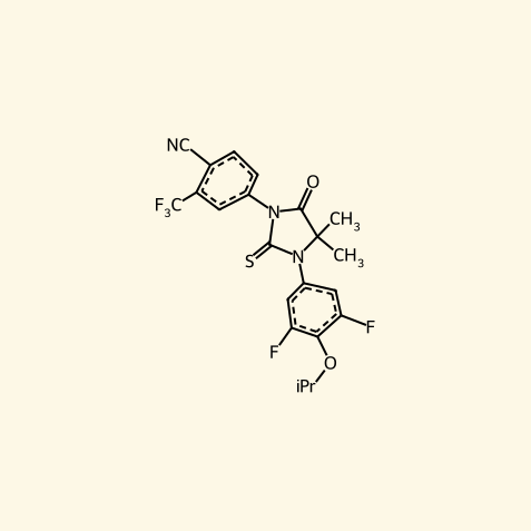 CC(C)Oc1c(F)cc(N2C(=S)N(c3ccc(C#N)c(C(F)(F)F)c3)C(=O)C2(C)C)cc1F